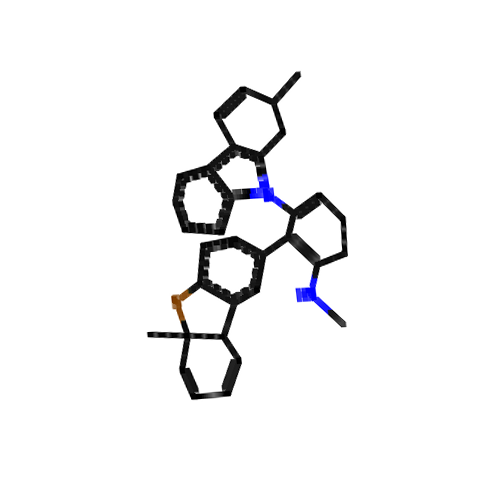 CNC1=C(c2ccc3c(c2)C2C=CC=CC2(C)S3)C(n2c3c(c4ccccc42)C=CC(C)C3)=CCC1